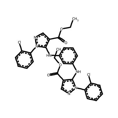 CCOC(=O)c1cnn(-c2ccccc2Cl)c1Nc1cccc(Nc2c(C(=O)OCC)cnn2-c2ccccc2Cl)c1